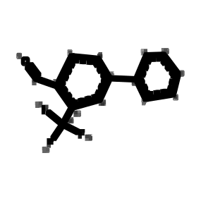 O=Cc1ccc(-c2ccccc2)cc1C(F)(F)F